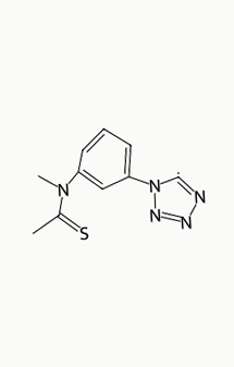 CC(=S)N(C)c1cccc(-n2[c]nnn2)c1